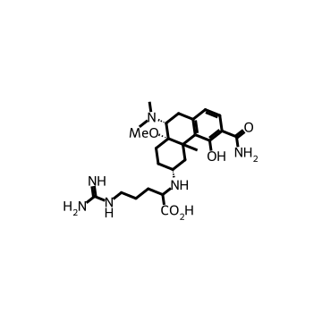 CO[C@@]12CC[C@@H](NC(CCCNC(=N)N)C(=O)O)CC1(C)c1c(ccc(C(N)=O)c1O)C[C@H]2N(C)C